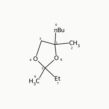 CCCCC1(C)COC(C)(CC)O1